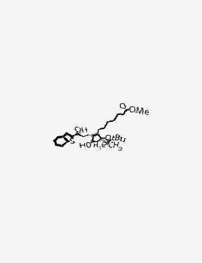 COC(=O)CCCCCC[C@@H]1[C@@H](CC[C@@H](O)c2cc3ccccc3s2)[C@H](O)C[C@@H]1O[Si](C)(C)C(C)(C)C